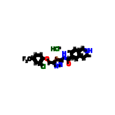 Cl.O=C(Nc1nnc(COc2ccc(C(F)(F)F)cc2Cl)s1)c1ccc2c(c1)CCNC2